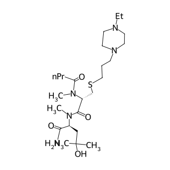 CCCC(=O)N(C)[C@H](CSCCCN1CCN(CC)CC1)C(=O)N(C)[C@@H](CC(C)(C)O)C(N)=O